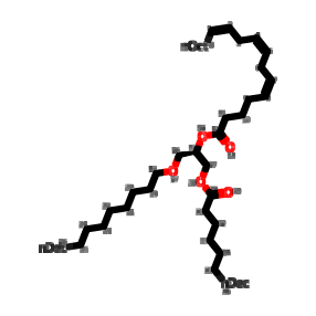 CCCCCCCC/C=C\C/C=C\C/C=C\CCCC(=O)O[C@H](COCCCCCCCCCCCCCCCCCC)COC(=O)CCCCCCCCCCCCCCC